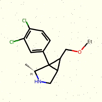 CCOCC1C2CN[C@H](C)C21c1ccc(Cl)c(Cl)c1